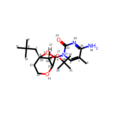 Cc1cn([C@@H]2O[C@@]3(CC(C)(C)C)CCOC2[C@H]3OC(C)(C)C)c(=O)nc1N